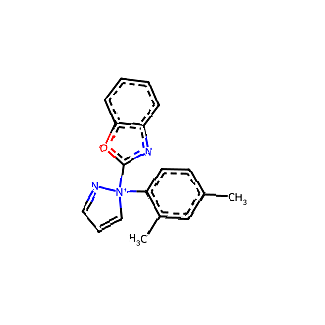 Cc1ccc([N+]2(c3nc4ccccc4o3)C=CC=N2)c(C)c1